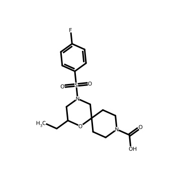 CCC1CN(S(=O)(=O)c2ccc(F)cc2)CC2(CCN(C(=O)O)CC2)O1